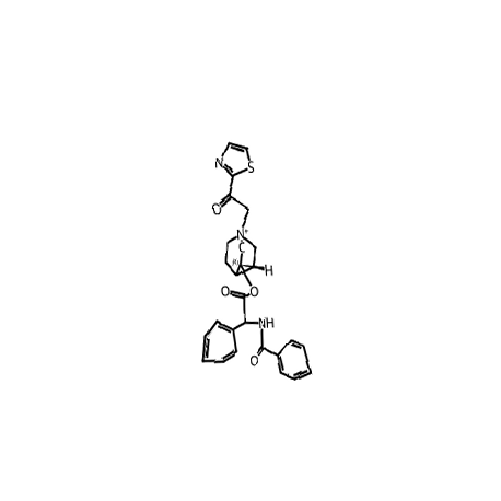 O=C(NC(C(=O)O[C@H]1C[N+]2(CC(=O)c3nccs3)CCC1CC2)c1ccccc1)c1ccccc1